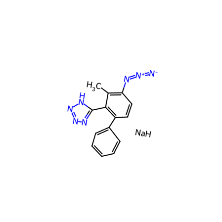 Cc1c(N=[N+]=[N-])ccc(-c2ccccc2)c1-c1nnn[nH]1.[NaH]